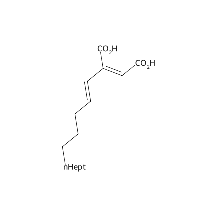 CCCCCCCCCCC=CC(=CC(=O)O)C(=O)O